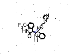 O=C1Nc2c(cccc2C(F)(F)F)/C1=C1/NC2C=CC=CC2/C1=N\OCCn1ccnc1